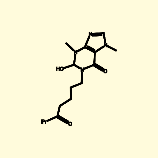 CC(C)C(=O)CCCCN1C(=O)c2c(ncn2C)N(C)C1O